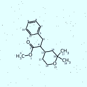 COC(=O)C(Cc1ccccc1)C1CCOC(C)(C)C1